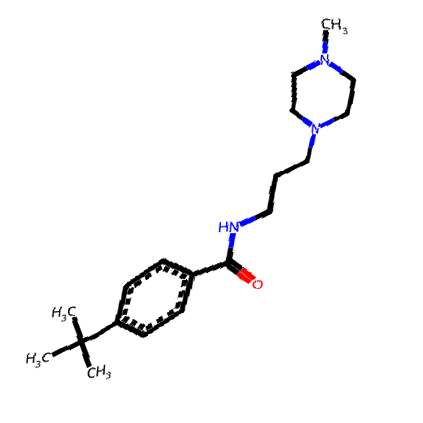 CN1CCN(CCCNC(=O)c2ccc(C(C)(C)C)cc2)CC1